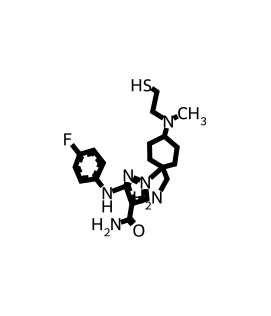 CN(CCS)C1CCC(CN)(n2cc(C(N)=O)c(Nc3ccc(F)cc3)n2)CC1